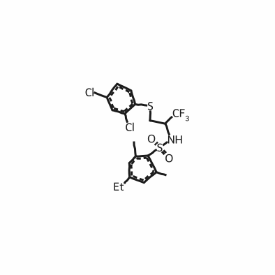 CCc1cc(C)c(S(=O)(=O)NC(CSc2ccc(Cl)cc2Cl)C(F)(F)F)c(C)c1